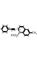 CCOC(=O)N1c2ccc(C)cc2C=C[C@H]1C#Cc1ccccc1